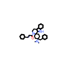 CN(C)C1(Cc2ccccc2)CCC2(CC1)c1[nH]c3ccccc3c1CCN2C(=O)/C=C/c1ccccc1